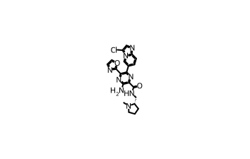 CN1CCC[C@H]1CNC(=O)c1nc(-c2ccc3ncc(Cl)n3c2)c(-c2ncco2)nc1N